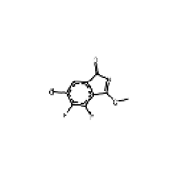 COC1=NC(=O)c2cc(Cl)c(F)c(F)c21